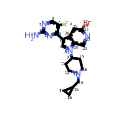 Nc1ncc(F)c(-c2cn(C3CCN(CC4CC4)CC3)c3cnc(Br)cc23)n1